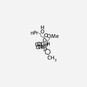 CC(=O)O.CC(=O)O.CCCC(O)CC(=O)OC(CCc1ccc(C)cc1)COC